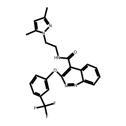 Cc1cc(C)n(CCNC(=O)c2c(Oc3cccc(C(F)(F)F)c3)nnc3ccccc23)n1